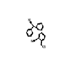 N#CC(c1ccccc1)c1ccccc1.N#Cc1ccccc1CCl